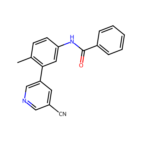 Cc1ccc(NC(=O)c2ccccc2)cc1-c1cncc(C#N)c1